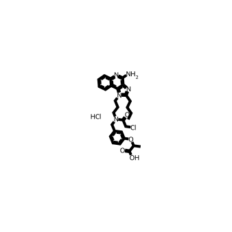 CCCCc1nc2c(N)nc3ccccc3c2n1CCCN(Cc1cccc(OC(C)C(=O)O)c1)C(=O)CCl.Cl